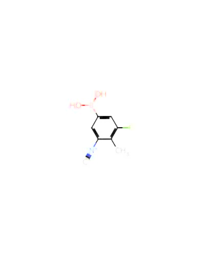 [C-]#[N+]c1cc(B(O)O)cc(F)c1C